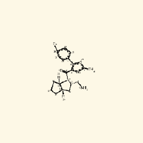 Cc1nc(C(=O)N2[C@H](CN)C[C@@H]3CCC[C@@H]32)c(-c2ccc(F)cc2)s1